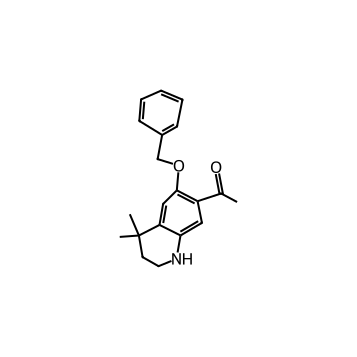 CC(=O)c1cc2c(cc1OCc1ccccc1)C(C)(C)CCN2